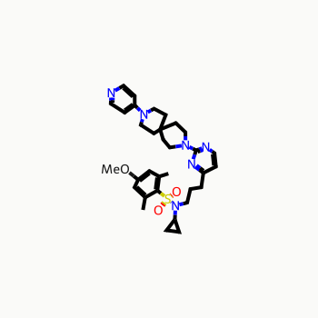 COc1cc(C)c(S(=O)(=O)N(CCCc2ccnc(N3CCC4(CCN(c5ccncc5)CC4)CC3)n2)C2CC2)c(C)c1